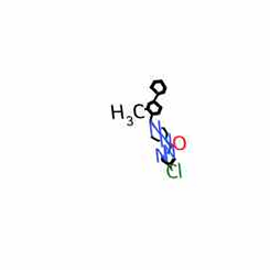 Cc1cc(-c2ccccc2)ccc1CN1CCN(C(=O)n2cc(Cl)cn2)CC1